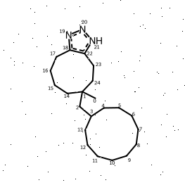 CC1(CC2CCCCCCCCCC2)CCCCc2nn[nH]c2CC1